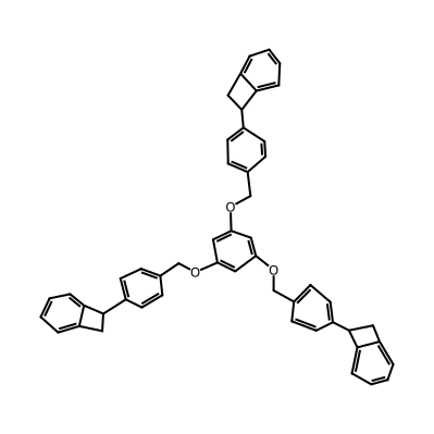 c1ccc2c(c1)CC2c1ccc(COc2cc(OCc3ccc(C4Cc5ccccc54)cc3)cc(OCc3ccc(C4Cc5ccccc54)cc3)c2)cc1